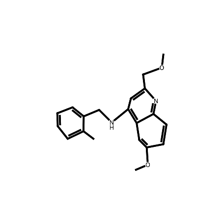 COCc1cc(NCc2ccccc2C)c2cc(OC)ccc2n1